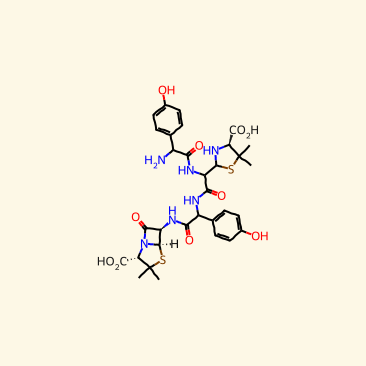 CC1(C)S[C@@H]2[C@H](NC(=O)C(NC(=O)C(NC(=O)C(N)c3ccc(O)cc3)C3N[C@@H](C(=O)O)C(C)(C)S3)c3ccc(O)cc3)C(=O)N2[C@H]1C(=O)O